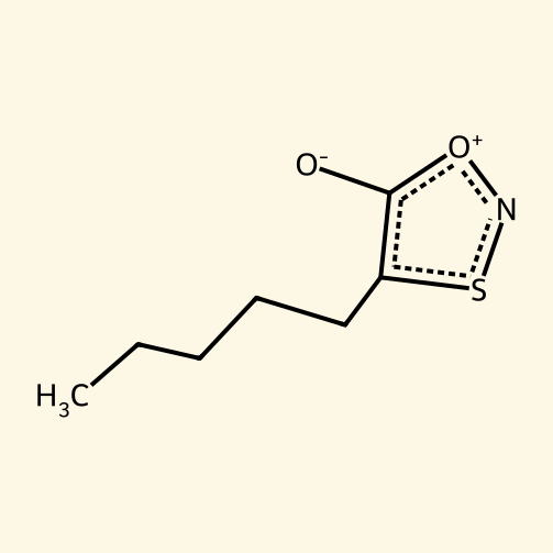 CCCCCc1sn[o+]c1[O-]